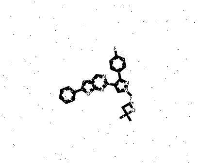 CC1(C)C[C@H](Cn2cc(-c3ncc4cc(-c5ccccc5)oc4n3)c(-c3ccc(F)cc3)n2)O1